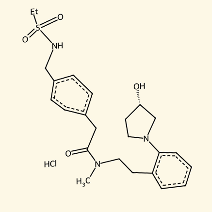 CCS(=O)(=O)NCc1ccc(CC(=O)N(C)CCc2ccccc2N2CC[C@H](O)C2)cc1.Cl